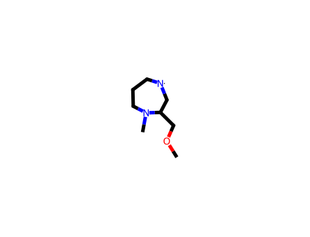 COCC1C[N]CCCN1C